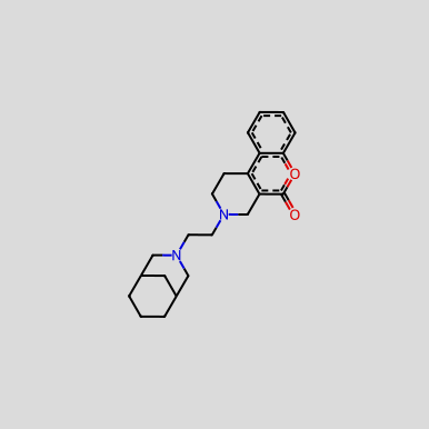 O=c1oc2ccccc2c2c1CN(CCN1CC3CCCC(C3)C1)CC2